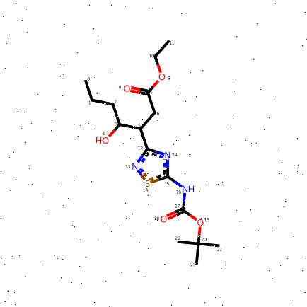 CCCC(O)C(CC(=O)OCC)c1nsc(NC(=O)OC(C)(C)C)n1